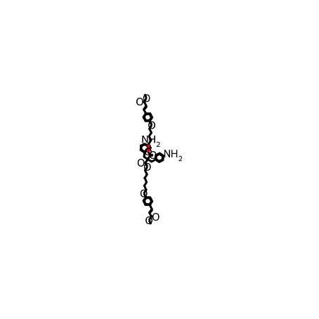 COC(=O)/C=C/c1ccc(OCCCCCCOC(=O)C(Cc2ccc(N)cc2)(Cc2ccc(N)cc2)C(=O)OCCCCCCOc2ccc(/C=C/C(=O)OC)cc2)cc1